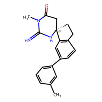 Cc1cccc(-c2ccc3c(c2)[C@]2(CC3)CC(=O)N(C)C(=N)N2)c1